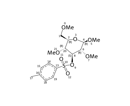 COC[C@H]1O[C@@H](OC)[C@H](OC)[C@@H](OS(=O)(=O)c2ccc(C)cc2)[C@@H]1OC